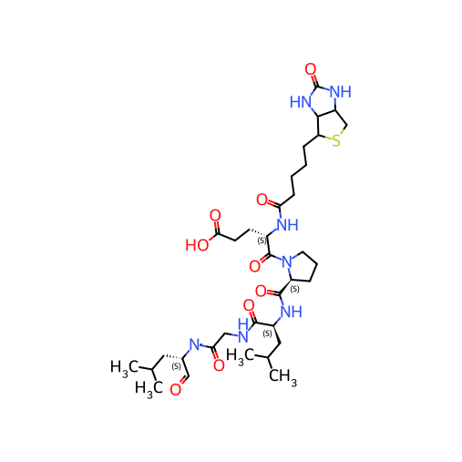 CC(C)C[C@@H](C=O)[N]C(=O)CNC(=O)[C@H](CC(C)C)NC(=O)[C@@H]1CCCN1C(=O)[C@H](CCC(=O)O)NC(=O)CCCCC1SCC2NC(=O)NC21